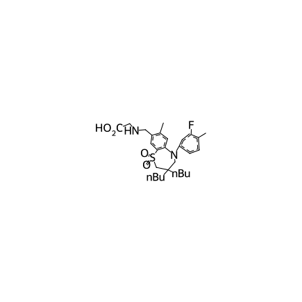 CCCCC1(CCCC)CN(c2ccc(C)c(F)c2)c2cc(C)c(CNCC(=O)O)cc2S(=O)(=O)C1